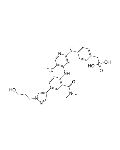 CN(C)C(=O)c1cc(-c2cnn(CCCO)c2)ccc1Nc1nc(Nc2ccc(CP(=O)(O)O)cc2)ncc1C(F)(F)F